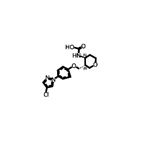 O=C(O)N[C@H]1CCOC[C@@H]1COc1ccc(-n2cc(Cl)cn2)cc1